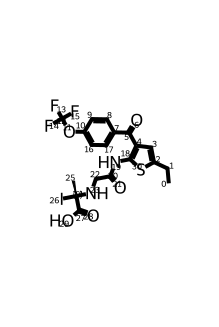 CCc1cc(C(=O)c2ccc(OC(F)(F)F)cc2)c(NC(=O)CN[C@@](C)(I)C(=O)O)s1